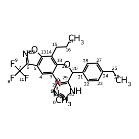 CCCc1cc2c(C(F)(F)F)noc2c(CCC)c1OC(c1ccc(CC)cc1)c1nnn[nH]1